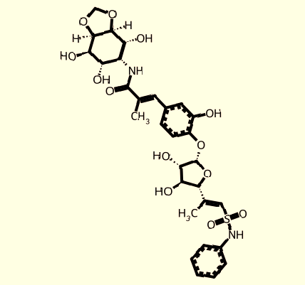 CC(=Cc1ccc(O[C@@H]2O[C@H](C(C)=CS(=O)(=O)Nc3ccccc3)[C@@H](O)[C@@H]2O)c(O)c1)C(=O)N[C@@H]1[C@H](O)[C@@H](O)[C@H]2OCO[C@H]2[C@@H]1O